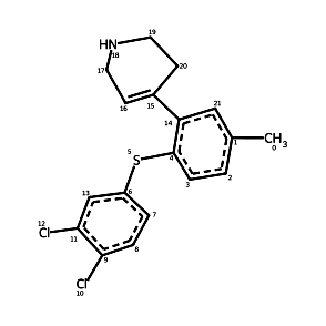 Cc1ccc(Sc2ccc(Cl)c(Cl)c2)c(C2=CCNCC2)c1